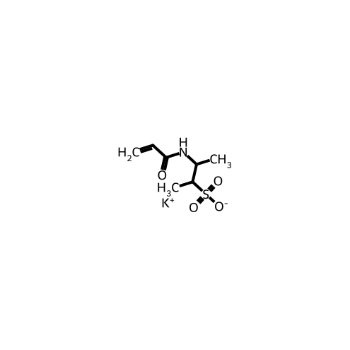 C=CC(=O)NC(C)C(C)S(=O)(=O)[O-].[K+]